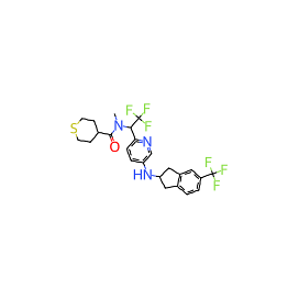 CN(C(=O)C1CCSCC1)C(c1ccc(NC2Cc3ccc(C(F)(F)F)cc3C2)cn1)C(F)(F)F